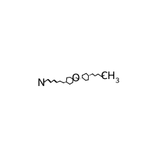 CCCCC[C@H]1CC[C@H](CO[C@H]2CC[C@H](CCC=CC=CC#N)CC2)CC1